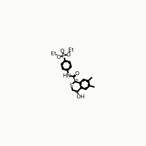 CCOP(=O)(OCC)c1ccc(NC(=O)[C@@H]2SC[C@H](O)c3cc(C)c(C)cc32)cc1